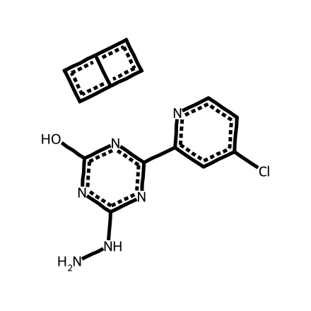 NNc1nc(O)nc(-c2cc(Cl)ccn2)n1.c1cc2ccc1-2